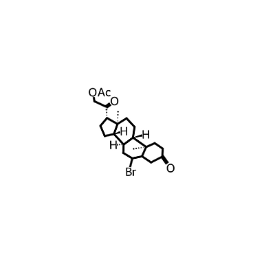 CC(=O)OCC(=O)[C@H]1CC[C@H]2[C@@H]3CC(Br)C4CC(=O)CC[C@]4(C)[C@H]3CC[C@]12C